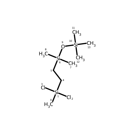 C[Si](Cl)(Cl)CC[Si](C)(C)O[Si](C)(C)C